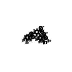 Cc1ccc(C(=O)[O-])c(C)c1C.Cc1ccc(C(=O)[O-])c(C)c1C.Cc1ccc(C(=O)[O-])c(C)c1C.[In+3]